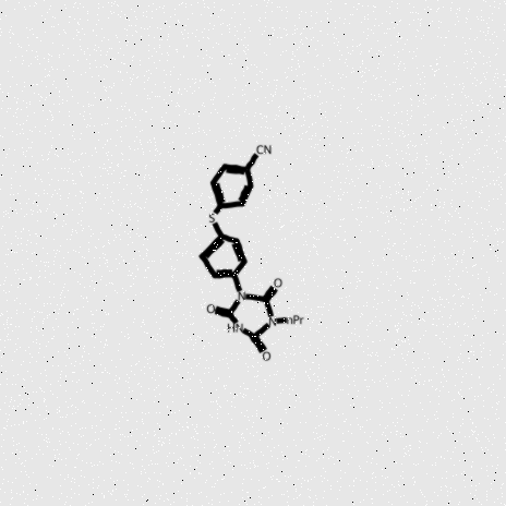 CCCn1c(=O)[nH]c(=O)n(-c2ccc(Sc3ccc(C#N)cc3)cc2)c1=O